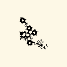 CC(C)(C)OC(=O)NCc1cccc(-n2nc(C(F)(F)F)cc2C(=O)N(c2ccccc2)C(NCC2CC2)c2cccc(OCc3ccccc3)c2)c1